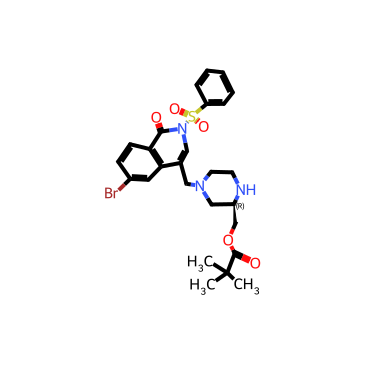 CC(C)(C)C(=O)OC[C@H]1CN(Cc2cn(S(=O)(=O)c3ccccc3)c(=O)c3ccc(Br)cc23)CCN1